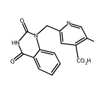 O=C(O)c1cc(Cn2c(=O)[nH]c(=O)c3ccccc32)ncc1I